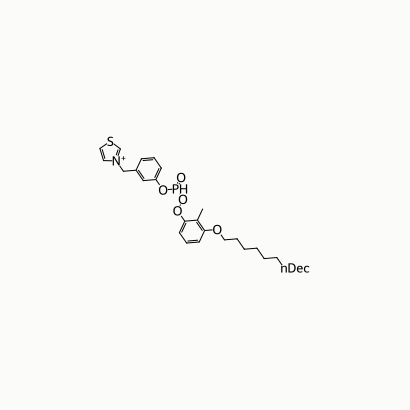 CCCCCCCCCCCCCCCCOc1cccc(OO[PH](=O)Oc2cccc(C[n+]3ccsc3)c2)c1C